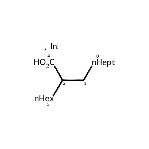 CCCCCCCCC(CCCCCC)C(=O)O.[In]